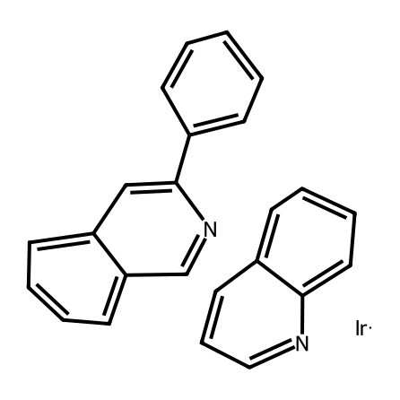 [Ir].c1ccc(-c2cc3ccccc3cn2)cc1.c1ccc2ncccc2c1